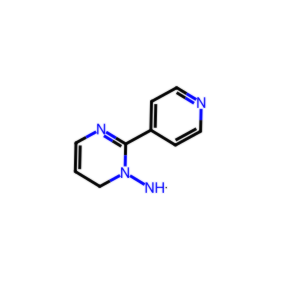 [NH]N1CC=CN=C1c1ccncc1